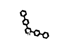 C1=CCCC(c2ccc(-c3cc(-c4ccc(-c5ccccc5)cc4)ccn3)cc2)=C1